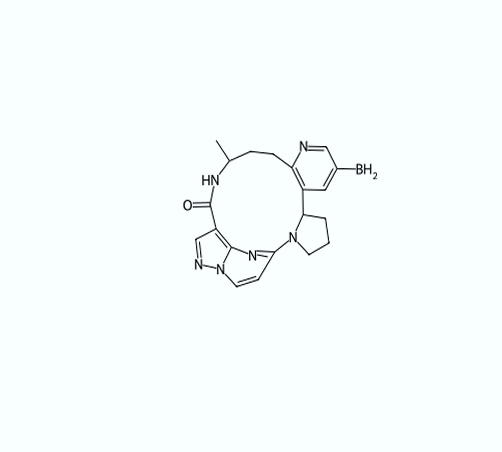 Bc1cnc2c(c1)C1CCCN1c1ccn3ncc(c3n1)C(=O)NC(C)CC2